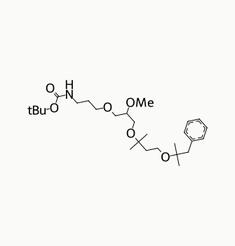 COC(COCCCNC(=O)OC(C)(C)C)COC(C)(C)CCOC(C)(C)Cc1ccccc1